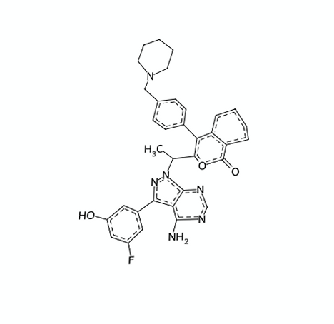 CC(c1oc(=O)c2ccccc2c1-c1ccc(CN2CCCCC2)cc1)n1nc(-c2cc(O)cc(F)c2)c2c(N)ncnc21